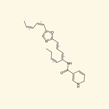 C/C=C\C=C/c1cnc(/C=C/C=C(\C=C/CC)NC(=O)C2=CNCC=C2)o1